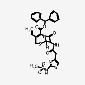 C=CC1=C(C(=O)OC(c2ccccc2)c2ccccc2)N2C(=O)C(NC(=O)Cc3csc(NS(C)(=O)=O)n3)[C@@H]2SC1